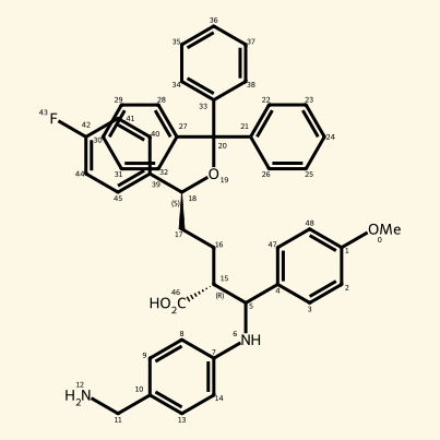 COc1ccc(C(Nc2ccc(CN)cc2)[C@@H](CC[C@H](OC(c2ccccc2)(c2ccccc2)c2ccccc2)c2ccc(F)cc2)C(=O)O)cc1